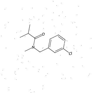 CC(C)C(=O)N(C)Cc1cccc(Cl)c1